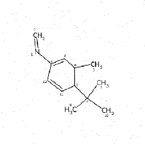 C=NC1=CC(C)C(C(C)(C)C)C=C1